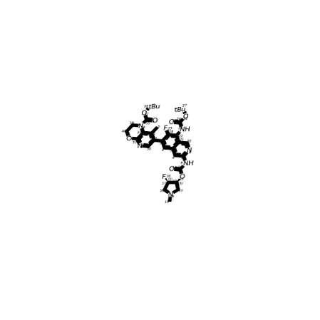 Cc1c(-c2cc3cc(NC(=O)O[C@H]4CN(C)C[C@@H]4F)ncc3c(NC(=O)OC(C)(C)C)c2F)cnc2c1N(C(=O)OC(C)(C)C)CCO2